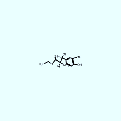 [2H][C@](O)(c1ccc(O)c(O)c1)[C@]([2H])(N)C(=O)OCC